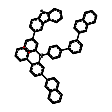 c1ccc(-c2ccc(-c3ccc4ccccc4c3)cc2N(c2ccc(-c3cccc(-c4ccc5ccccc5c4)c3)cc2)c2cccc(-c3ccc4sc5ccccc5c4c3)c2)cc1